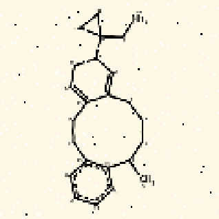 CC1CCCC2=CC(C3(CN)CC3)CC=C2CCc2ccccc21